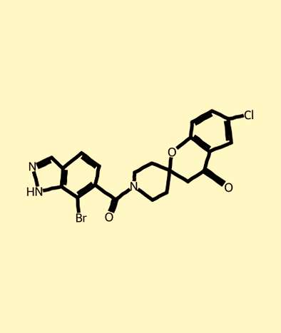 O=C1CC2(CCN(C(=O)c3ccc4cn[nH]c4c3Br)CC2)Oc2ccc(Cl)cc21